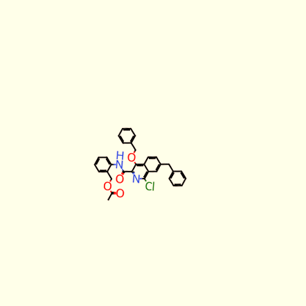 CC(=O)OCc1ccccc1NC(=O)c1nc(Cl)c2cc(Cc3ccccc3)ccc2c1OCc1ccccc1